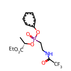 CCOC(=O)[C@H](C)OP(=O)(CCNC(=O)C(F)(F)F)Oc1ccccc1